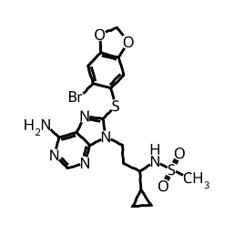 CS(=O)(=O)NC(CCn1c(Sc2cc3c(cc2Br)OCO3)nc2c(N)ncnc21)C1CC1